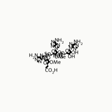 CO[C@H]1[C@@H](OP(O)(=S)OC[C@H]2O[C@@H](n3cnc4c(N)ncnc43)[C@H](OP(O)(=S)OC[C@H]3O[C@@H](n4cnc5c(N)ncnc54)[C@H](O)[C@@H]3O)[C@@H]2OC)[C@H](n2cnc3c(N)ncnc32)O[C@@H]1CCC(=O)O